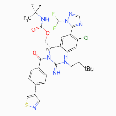 CC(C)(C)CCNC(=N)N(C(=O)c1ccc(-c2cnsc2)cc1)[C@H](COC(=O)NC1(C(F)(F)F)CC1)c1ccc(Cl)c(-c2ncnn2C(F)F)c1